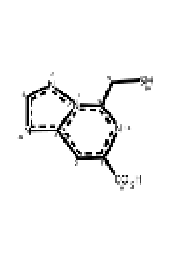 O=C(O)c1cc2ncnn2c(CS)n1